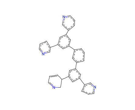 C1=CC(c2cc(-c3cccnc3)cc(-c3cccc(-c4cc(-c5cccnc5)cc(-c5cccnc5)c4)c3)c2)CN=C1